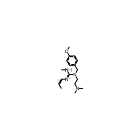 C/C=C\N=C(/NC)N(CCN(C)C)Cc1ccc(OC)cc1